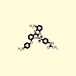 CC(=O)Nc1ccc(S(=O)(=O)Nc2nc3cccc(N)c3nc2-c2cccc(Oc3ccc(N)cc3)c2)cc1